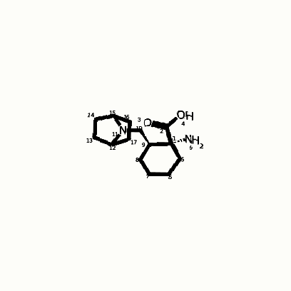 N[C@]1(C(=O)O)CCCC[C@H]1CN1C2CCC1CC2